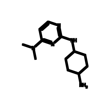 CN(C)c1ccnc(NC2CCC(N)CC2)n1